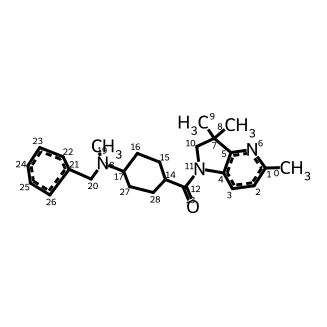 Cc1ccc2c(n1)C(C)(C)CN2C(=O)C1CCC(N(C)Cc2ccccc2)CC1